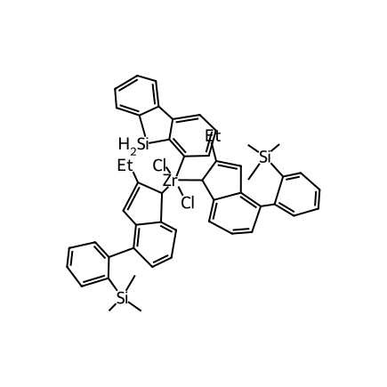 CCC1=Cc2c(-c3ccccc3[Si](C)(C)C)cccc2[CH]1[Zr]([Cl])([Cl])([c]1cccc2c1[SiH2]c1ccccc1-2)[CH]1C(CC)=Cc2c(-c3ccccc3[Si](C)(C)C)cccc21